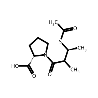 CC(=O)S[C@@H](C)C(C)C(=O)N1CCC[C@H]1C(=O)O